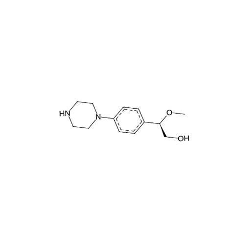 CO[C@@H](CO)c1ccc(N2CCNCC2)cc1